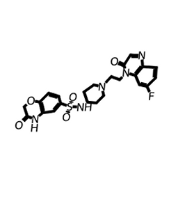 O=C1COc2ccc(S(=O)(=O)NC3CCN(CCn4c(=O)cnc5ccc(F)cc54)CC3)cc2N1